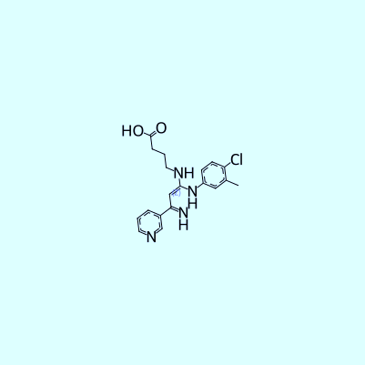 Cc1cc(N/C(=C\C(=N)c2cccnc2)NCCCC(=O)O)ccc1Cl